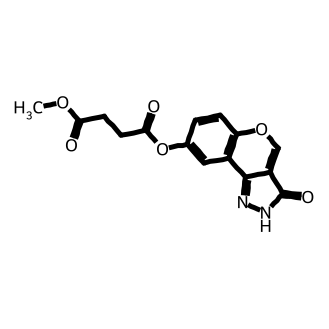 COC(=O)CCC(=O)Oc1ccc2occ3c(=O)[nH]nc-3c2c1